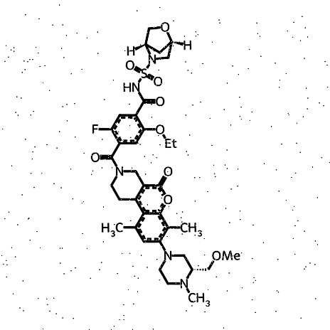 CCOc1cc(C(=O)N2CCc3c(c(=O)oc4c(C)c(N5CCN(C)[C@@H](COC)C5)cc(C)c34)C2)c(F)cc1C(=O)NS(=O)(=O)N1C[C@@H]2C[C@H]1CO2